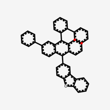 c1ccc(-c2ccc3c(-c4ccc5oc6ccccc6c5c4)c4ccccc4c(-c4ccccc4-c4ccccc4)c3c2)cc1